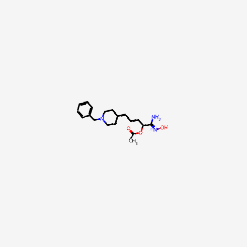 CC(=O)OC(CCCC1CCN(Cc2ccccc2)CC1)/C(N)=N/O